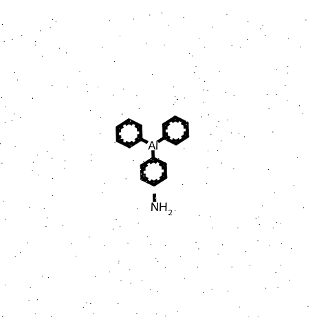 CN.c1cc[c]([Al]([c]2ccccc2)[c]2ccccc2)cc1